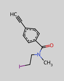 C#Cc1ccc(C(=O)N(C)CCI)cc1